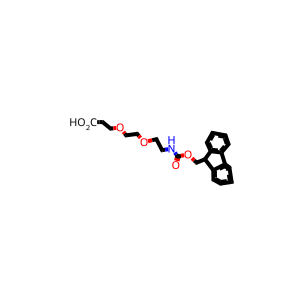 O=C(O)CCOCCOCCNC(=O)OCC1c2ccccc2-c2ccccc21